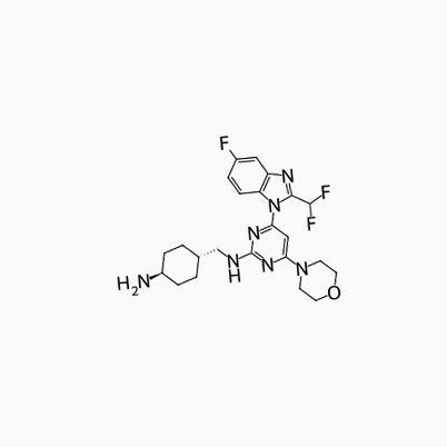 N[C@H]1CC[C@H](CNc2nc(N3CCOCC3)cc(-n3c(C(F)F)nc4cc(F)ccc43)n2)CC1